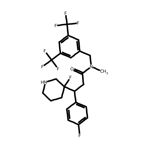 CN(Cc1cc(C(F)(F)F)cc(C(F)(F)F)c1)C(=O)CC(c1ccc(F)cc1)C1(F)CCCNC1